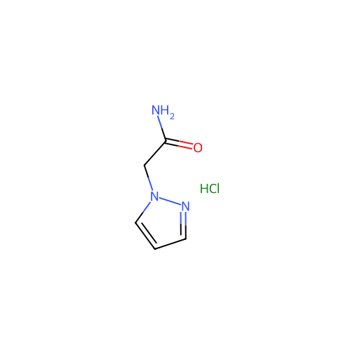 Cl.NC(=O)Cn1cccn1